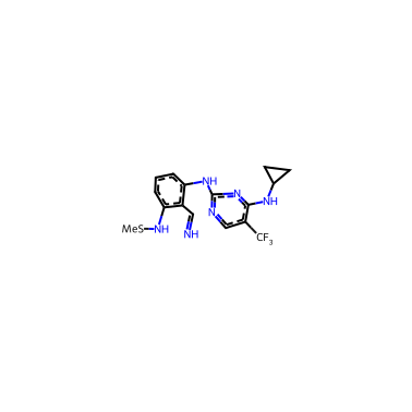 CSNc1cccc(Nc2ncc(C(F)(F)F)c(NC3CC3)n2)c1C=N